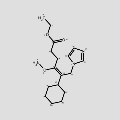 CCOC(=O)CCC(ON)=C(Cn1ccnc1)C1CCCCC1